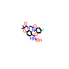 CC1(C)Oc2ccc(C(=O)NO)cc2N(Cc2nc3ccc(F)cc3o2)C1=O